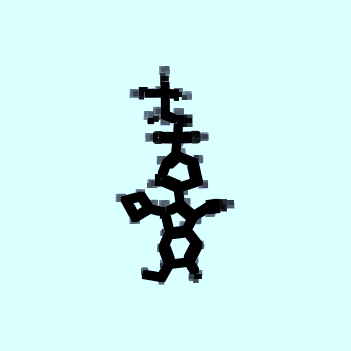 CCc1cc2c(cc1F)c(C#N)c(-c1ccc(S(=O)(=O)N[C@H](C)C(F)(F)F)cn1)n2C1CCC1